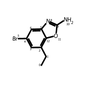 CCc1cc(Br)cc2nc(N)oc12